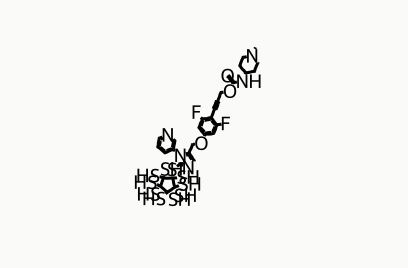 CN1CCC(NC(=O)OCC#Cc2c(F)cc(OCc3cnc(SC4(S)C(S)(S)C(S)(S)C(S)(S)C4(S)S)n3-c3cccnc3)cc2F)CC1